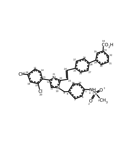 CS(=O)(=O)Nc1ccc(Cn2cc(-c3ccc(Cl)cc3Cl)nc2/C=C/c2ccc(-c3cccc(C(=O)O)c3)cc2)cc1